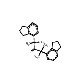 CC(C)(C(=O)C(C)(C)c1cccc2c1CCC2)c1cccc2c1CCC2